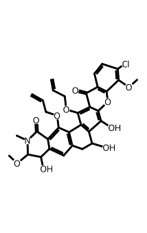 C=CCOc1c2c(cc3c1-c1c(c(O)c4oc5c(OC)c(Cl)ccc5c(=O)c4c1OCC=C)C(O)C3)C(O)C(OC)N(C)C2=O